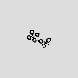 c1ccc([Si](c2ccccc2)(c2ccccc2)c2cccc(-c3ccc4c(c3)COc3nc5ccccc5n3-4)c2)cc1